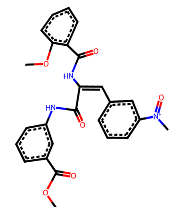 COC(=O)c1cccc(NC(=O)/C(=C\c2cccc([N+](C)=O)c2)NC(=O)c2ccccc2OC)c1